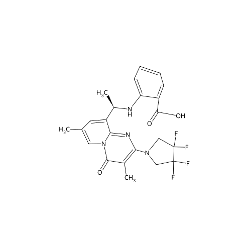 Cc1cc([C@@H](C)Nc2ccccc2C(=O)O)c2nc(N3CC(F)(F)C(F)(F)C3)c(C)c(=O)n2c1